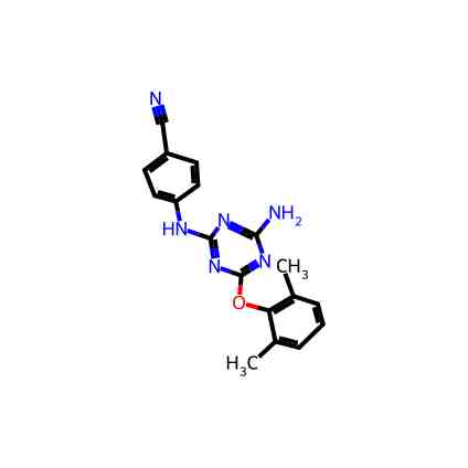 Cc1cccc(C)c1Oc1nc(N)nc(Nc2ccc(C#N)cc2)n1